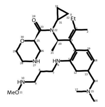 CC/C(C)=C(/C1=C(NCCCNOC)CC(CN(C)C)C=C1)[C@@H](C)N(C(=O)[C@H]1CNCCO1)C1CC1